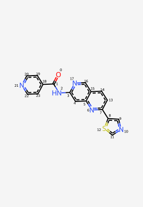 O=C(Nc1cc2nc(-c3cncs3)ccc2cn1)c1ccncc1